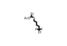 CCC(OC(C)=O)SCCCCC(F)(F)CC